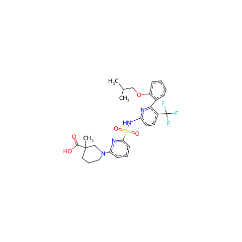 CC(C)COc1ccccc1-c1nc(NS(=O)(=O)c2cccc(N3CCCC(C)(C(=O)O)C3)n2)ccc1C(F)(F)F